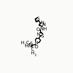 CC1=C(C(=O)N2CCC(c3nc(C(=O)NC4C=C(c5cccs5)N=N4)cs3)CC2)SC(C)N1